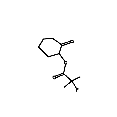 CC(C)(F)C(=O)OC1CCCCC1=O